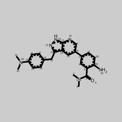 CN(C)C(=O)c1cc(-c2cnc3[nH]nc(Cc4ccc(N(C)C)cc4)c3c2)ccc1N